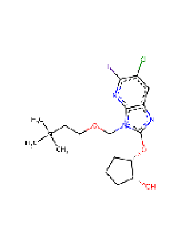 C[Si](C)(C)CCOCn1c(O[C@H]2CCC[C@H]2O)nc2cc(Cl)c(I)nc21